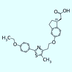 CCOc1ccc(-c2nc(CCOc3ccc4c(c3)CC[C@H]4CC(=O)O)c(C)s2)cc1